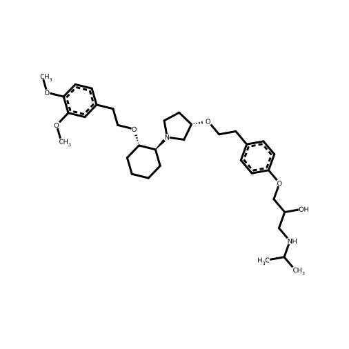 COc1ccc(CCO[C@H]2CCCC[C@@H]2N2CC[C@H](OCCc3ccc(OCC(O)CNC(C)C)cc3)C2)cc1OC